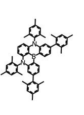 Cc1cc(C)c(-c2ccc3c(c2)N(c2c(C)cc(C)cc2C)c2cccc4c2B3c2ccc(-c3c(C)cc(C)cc3C)cc2N4c2c(C)cc(C)cc2C)c(C)c1